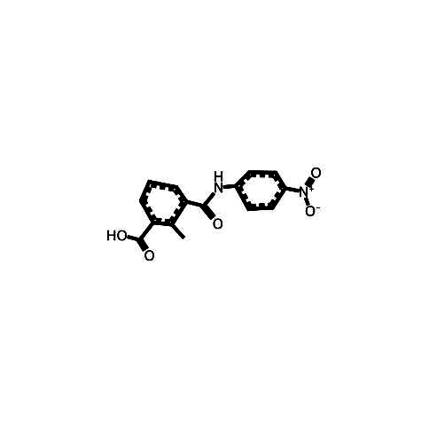 Cc1c(C(=O)O)cccc1C(=O)Nc1ccc([N+](=O)[O-])cc1